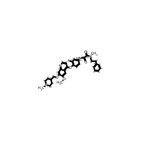 COc1cc2c(Oc3ccc(NC(=O)C(=O)N(C)CCc4ccccc4)cc3F)ccnc2cc1OCC1CCN(C)CC1